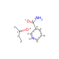 CCC(C)=O.NC(=O)c1cccnc1